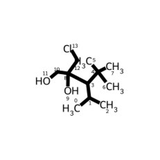 CC(C)C(C(C)(C)C)C(O)(CO)CCl